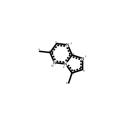 Cc1cnc2ncc(C)n2n1